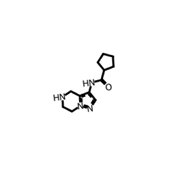 O=C(Nc1cnn2c1CNCC2)C1CCCC1